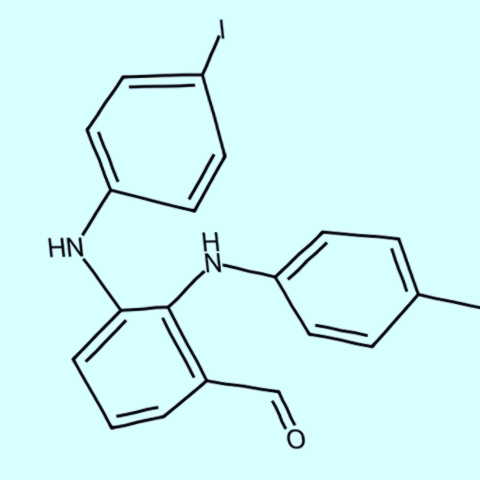 O=Cc1cccc(Nc2ccc(I)cc2)c1Nc1ccc(I)cc1